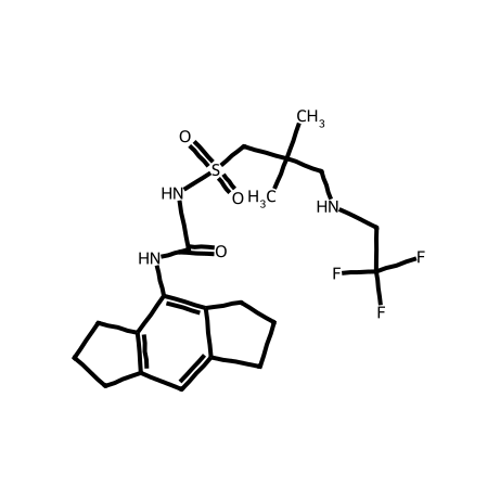 CC(C)(CNCC(F)(F)F)CS(=O)(=O)NC(=O)Nc1c2c(cc3c1CCC3)CCC2